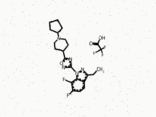 CCc1nn(-c2noc(C3CCN(C4CCCC4)CC3)n2)c2c(F)c(F)ccc12.O=C(O)C(F)(F)F